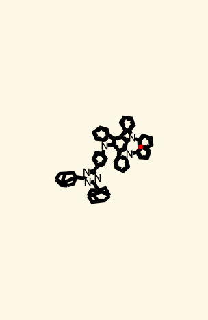 c1ccc(-n2c3ccccc3c3c4c5ccccc5n(-c5ccc(-c6nc(C78CC9CC(CC(C9)C7)C8)nc(C78CC9CC(CC(C9)C7)C8)n6)cc5)c4c4c5ccccc5n(-c5ccccc5)c4c32)cc1